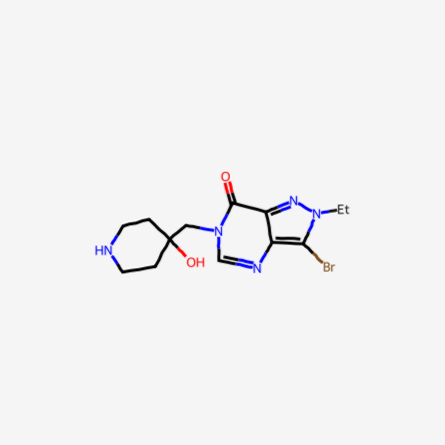 CCn1nc2c(=O)n(CC3(O)CCNCC3)cnc2c1Br